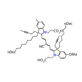 CC#CCCC1(CCCCCCCCCCCCCCCCCC)C(/C=C/C(C#N)=C/C=C2/N(CCC(=O)O)c3ccc(OC)cc3C2(CC#CC)CCCCCCCCCCCCCCCCC)=[N+](CCC(=O)O)c2ccc(C)cc21